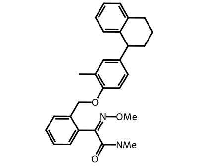 CNC(=O)C(=NOC)c1ccccc1COc1ccc(C2CCCc3ccccc32)cc1C